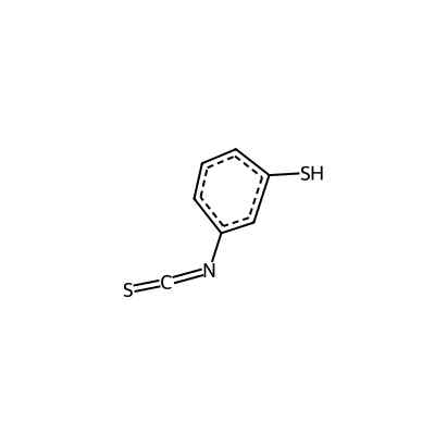 S=C=Nc1cccc(S)c1